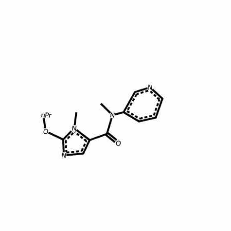 CCCOc1ncc(C(=O)N(C)c2cccnc2)n1C